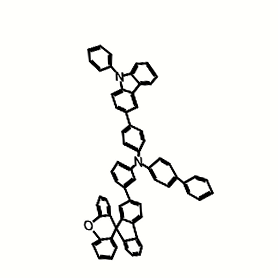 c1ccc(-c2ccc(N(c3ccc(-c4ccc5c(c4)c4ccccc4n5-c4ccccc4)cc3)c3cccc(-c4ccc5c(c4)C4(c6ccccc6Oc6ccccc64)c4ccccc4-5)c3)cc2)cc1